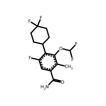 Cc1c(C(N)=O)cc(F)c(C2CCC(F)(F)CC2)c1OC(F)F